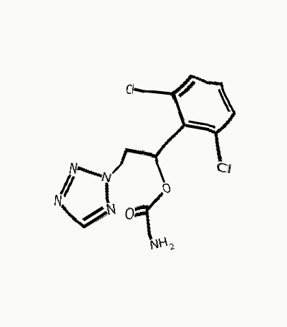 NC(=O)OC(Cn1ncnn1)c1c(Cl)cccc1Cl